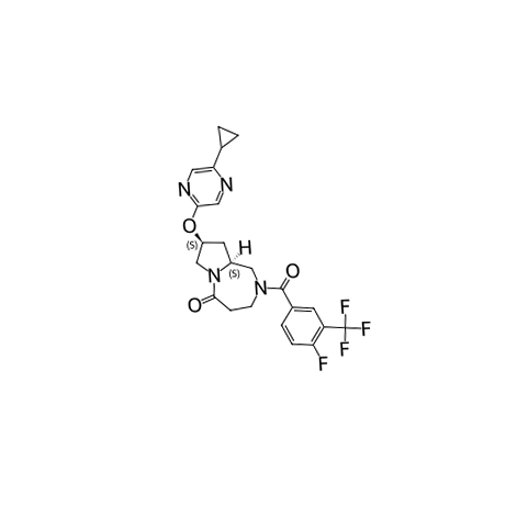 O=C(c1ccc(F)c(C(F)(F)F)c1)N1CCC(=O)N2C[C@@H](Oc3cnc(C4CC4)cn3)C[C@H]2C1